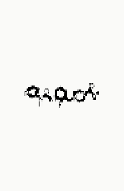 CN(C)C(=O)N1CCN(Cc2cccc(NC(=O)Nc3cccnc3)c2F)CC1